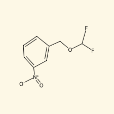 O=[N+]([O-])c1cccc(COC(F)F)c1